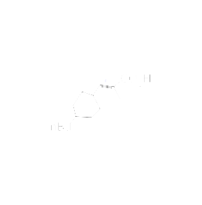 CCCCC1CCC(/C=C(\C)C(=O)O)CC1